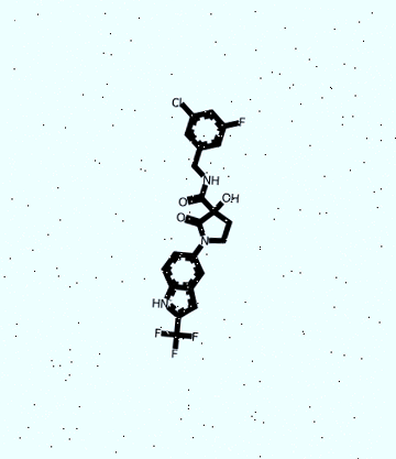 O=C(NCc1cc(F)cc(Cl)c1)C1(O)CCN(c2ccc3[nH]c(C(F)(F)F)cc3c2)C1=O